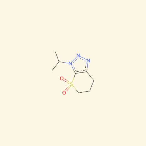 CC(C)n1nnc2c1S(=O)(=O)CCC2